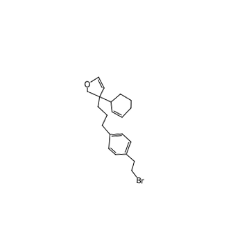 BrCCc1ccc(CCCC2(C3C=CCCC3)C=COC2)cc1